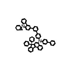 C1=CC([C@]2(c3ccccc3)c3ccccc3-c3c2cc(N(c2ccc(-c4ccccc4)cc2)c2ccc(-c4cccc(-c5ccc6c(c5)c5ccccc5n6C56C=CCCC5C6)c4)cc2)c2ccccc32)=CCC1